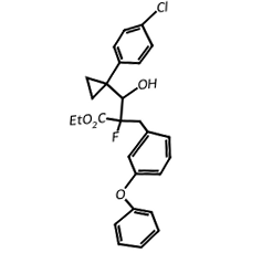 CCOC(=O)C(F)(Cc1cccc(Oc2ccccc2)c1)C(O)C1(c2ccc(Cl)cc2)CC1